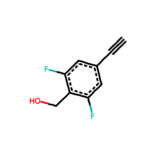 C#Cc1cc(F)c(CO)c(F)c1